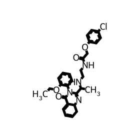 CCOc1ccccc1N1C(=O)C2=CC=CCC2N=C1C(C)NCCNC(=O)COc1ccc(Cl)cc1